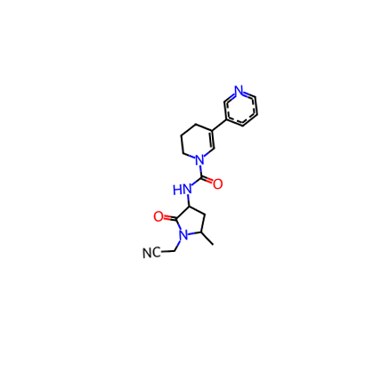 CC1CC(NC(=O)N2C=C(c3cccnc3)CCC2)C(=O)N1CC#N